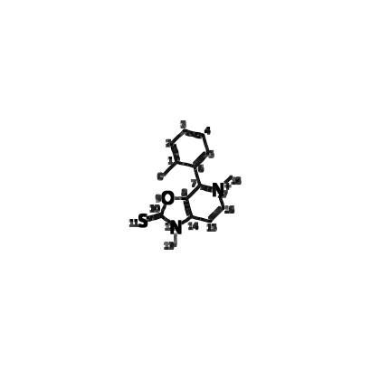 Cc1ccccc1-c1c2oc(=S)n(C)c2cc[n+]1C